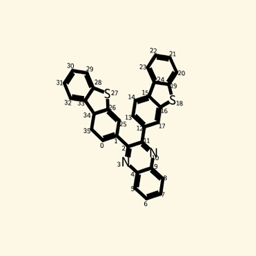 C1=C(c2nc3ccccc3nc2-c2ccc3c(c2)sc2ccccc23)C=C2Sc3ccccc3C2C1